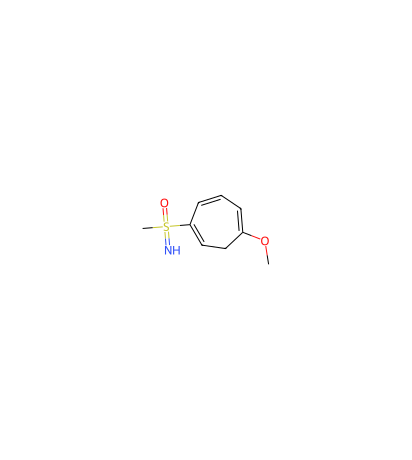 COC1=CC=CC(S(C)(=N)=O)=CC1